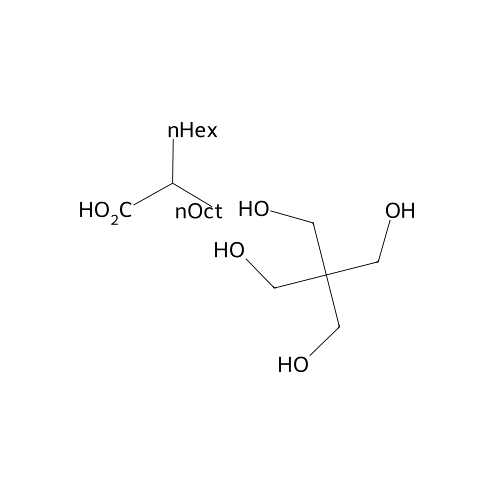 CCCCCCCCC(CCCCCC)C(=O)O.OCC(CO)(CO)CO